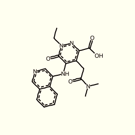 CCn1nc(C(=O)O)c(CC(=O)N(C)C)c(Nc2cncc3ccccc23)c1=O